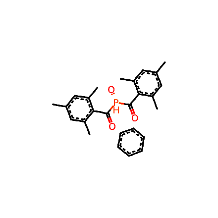 Cc1cc(C)c(C(=O)[PH](=O)C(=O)c2c(C)cc(C)cc2C)c(C)c1.c1ccccc1